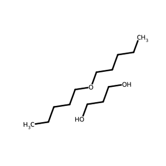 CCCCCOCCCCC.OCCCO